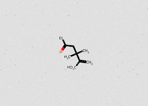 C=C(C(=O)O)C(C)(C)CC(=O)CC